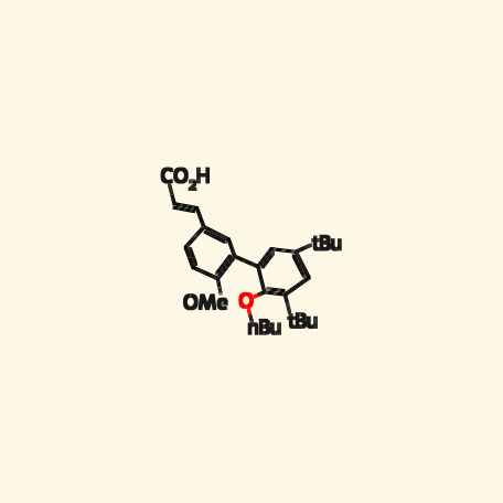 CCCCOc1c(-c2cc(/C=C/C(=O)O)ccc2OC)cc(C(C)(C)C)cc1C(C)(C)C